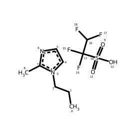 CCCn1ccnc1C.O=S(=O)(O)C(F)(F)C(F)F